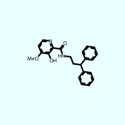 COc1ccnc(C(=O)NCCC(c2ccccc2)c2ccccc2)c1O